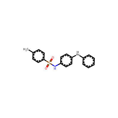 Cc1ccc(S(=O)(=O)Nc2ccc([AsH]c3ccccc3)cc2)cc1